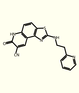 N#Cc1cc2c(ccc3sc(NCCc4ccccn4)nc32)[nH]c1=O